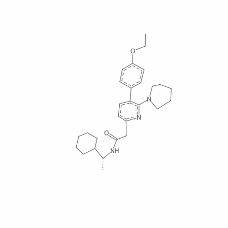 CCOc1ccc(-c2ccc(CC(=O)N[C@H](C)C3CCCCC3)nc2N2CCCCC2)cc1